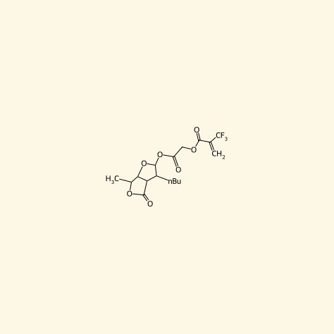 C=C(C(=O)OCC(=O)OC1OC2C(C)OC(=O)C2C1CCCC)C(F)(F)F